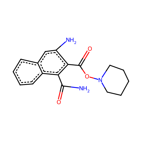 NC(=O)c1c(C(=O)ON2CCCCC2)c(N)cc2ccccc12